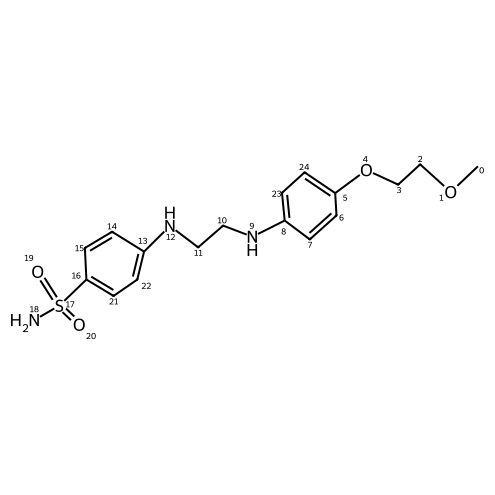 COCCOc1ccc(NCCNc2ccc(S(N)(=O)=O)cc2)cc1